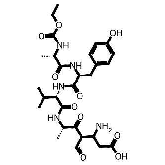 CCOC(=O)N[C@@H](C)C(=O)N[C@@H](Cc1ccc(O)cc1)C(=O)N[C@H](C(=O)N[C@@H](C)C(=O)C(C=O)C(N)CC(=O)O)C(C)C